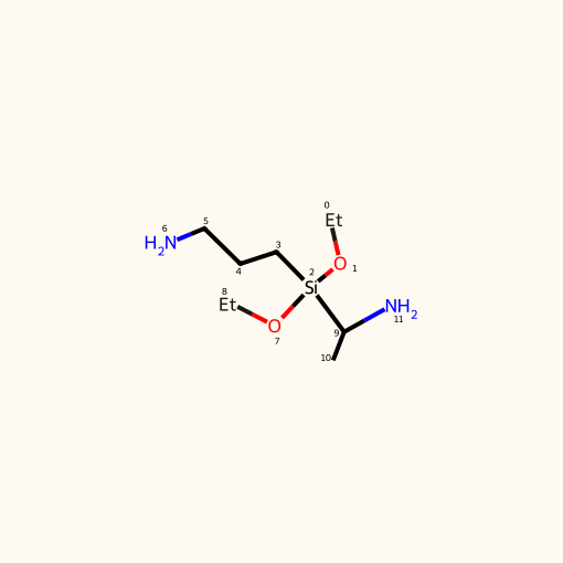 CCO[Si](CCCN)(OCC)C(C)N